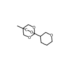 CC12COC(C3CCCOC3)(OC1)OC2